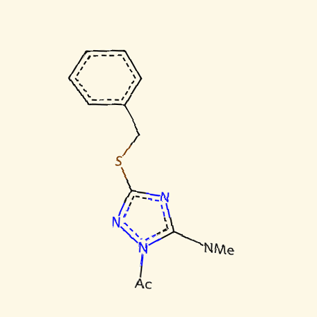 CNc1nc(SCc2ccccc2)nn1C(C)=O